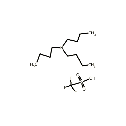 CCCCN(CCCC)CCCC.O=S(=O)(O)C(F)(F)F